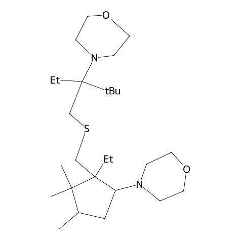 CCC1(CSCC(CC)(N2CCOCC2)C(C)(C)C)C(N2CCOCC2)CC(C)C1(C)C